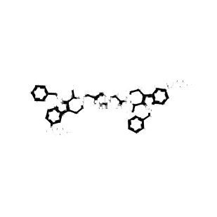 COc1ccc2c(c1)c1c(n2Cc2ccccc2)C(C)N(Cc2cn(CC(=O)N3CCc4c(n(Cc5ccccc5)c5ccc(OC)cc45)C3C)nn2)CC1